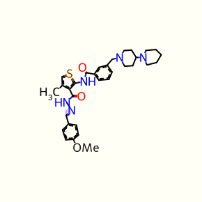 COc1ccc(/C=N/NC(=O)c2c(C)csc2NC(=O)c2cccc(CN3CCC(N4CCCCC4)CC3)c2)cc1